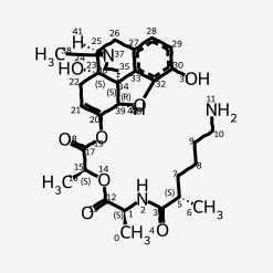 C[C@H](NC(=O)[C@@H](C)CCCCN)C(=O)O[C@@H](C)C(=O)OC1=CC[C@@]2(O)[C@H]3Cc4ccc(O)c5c4[C@@]2(CCN3C)[C@H]1O5